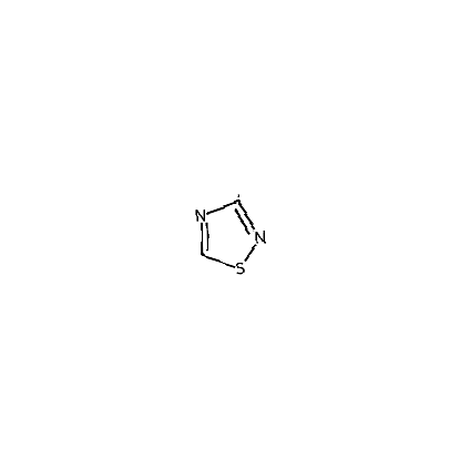 [c]1ncsn1